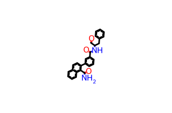 NC(=O)c1c(-c2cccc(C(=O)NC(C=O)Cc3ccccc3)c2)ccc2ccccc12